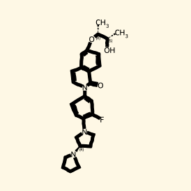 C[C@H](O)[C@@H](C)Oc1ccc2c(=O)n(-c3ccc(N4CC[C@@H](N5CCCC5)C4)c(F)c3)ccc2c1